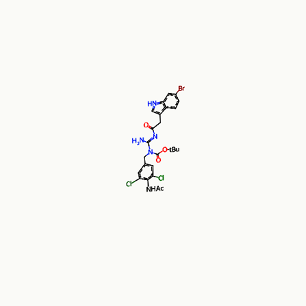 CC(=O)Nc1c(Cl)cc(CN(C(=O)OC(C)(C)C)C(N)=NC(=O)Cc2c[nH]c3cc(Br)ccc23)cc1Cl